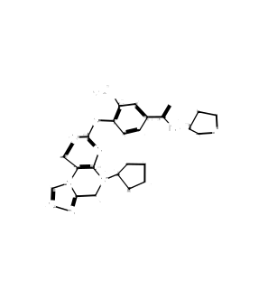 CC[C@@H]1c2nncn2-c2cnc(Nc3ccc(C(=O)N[C@@H]4CCOC4)cc3OC)nc2N1C1CCCC1